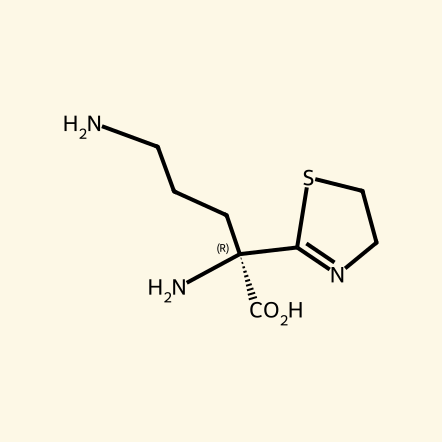 NCCC[C@@](N)(C(=O)O)C1=NCCS1